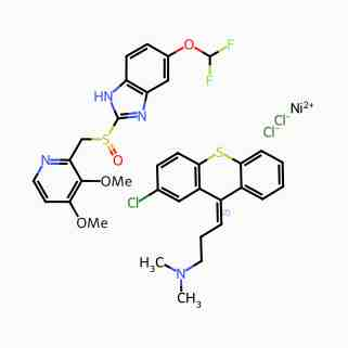 CN(C)CC/C=C1/c2ccccc2Sc2ccc(Cl)cc21.COc1ccnc(CS(=O)c2nc3cc(OC(F)F)ccc3[nH]2)c1OC.[Cl-].[Cl-].[Ni+2]